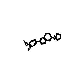 COc1ccc(-c2ccc3c(c2)CCC(N2CCCC2)C3)cc1F